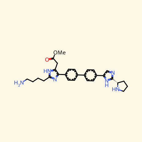 COC(=O)Cc1[nH]c(CCCCN)nc1-c1ccc(-c2ccc(-c3cnc([C@@H]4CCCN4)[nH]3)cc2)cc1